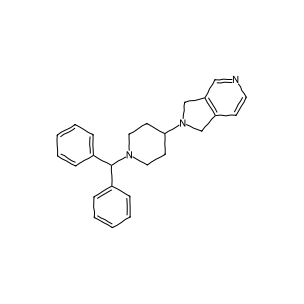 c1ccc(C(c2ccccc2)N2CCC(N3Cc4ccncc4C3)CC2)cc1